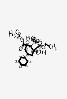 CCOC(=O)[C@]1(O)C[C@H](C2CCCCC2)C[C@](O)(C(=O)OCC)[C@H]1[N+](=O)[O-]